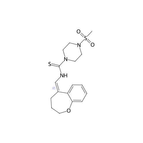 CS(=O)(=O)N1CCN(C(=S)N/C=C2/CCCOc3ccccc32)CC1